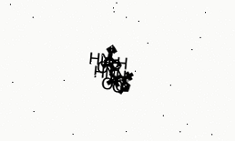 Cc1ccc([C@H](Nc2c(Nc3cccc4c3C(=O)NC4=C3CCC3)c(=O)c2=O)C(C)(C)C)o1